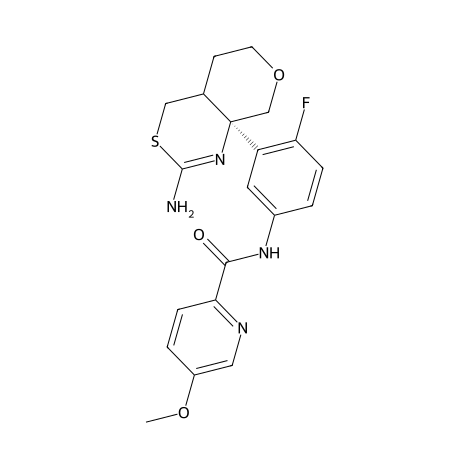 COc1ccc(C(=O)Nc2ccc(F)c([C@@]34COCCC3CSC(N)=N4)c2)nc1